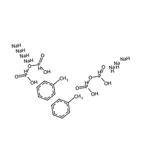 Cc1ccccc1.Cc1ccccc1.O=[PH](O)O[PH](=O)O.O=[PH](O)O[PH](=O)O.[NaH].[NaH].[NaH].[NaH].[NaH].[NaH].[NaH]